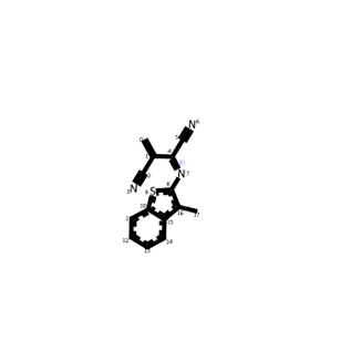 C=C(C#N)/C(C#N)=N\c1sc2ccccc2c1C